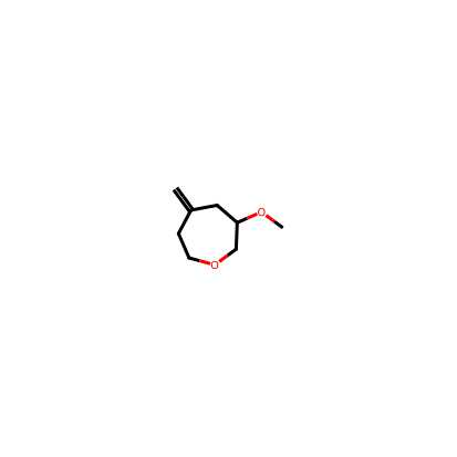 C=C1CCOCC(OC)C1